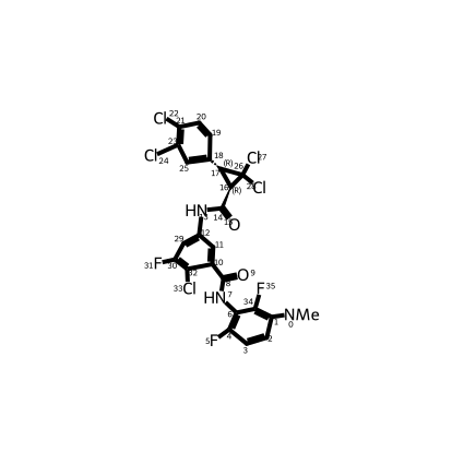 CNc1ccc(F)c(NC(=O)c2cc(NC(=O)[C@H]3[C@H](c4ccc(Cl)c(Cl)c4)C3(Cl)Cl)cc(F)c2Cl)c1F